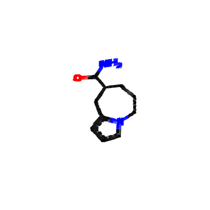 NC(=O)C1CCCn2cccc2C1